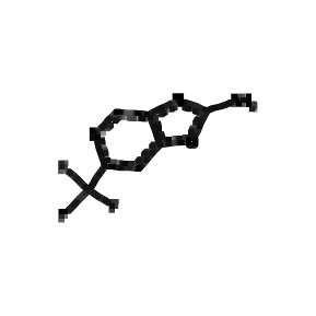 Nc1nc2cnc(C(F)(F)F)cc2o1